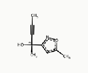 CC#C[C@@](C)(O)c1cc(C)on1